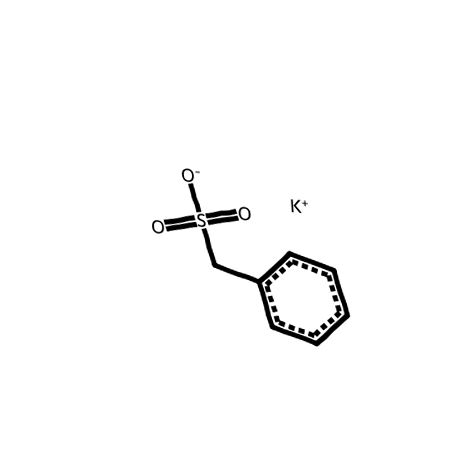 O=S(=O)([O-])Cc1ccccc1.[K+]